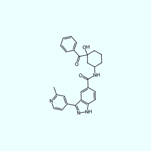 Cc1cc(-c2n[nH]c3ccc(C(=O)NC4CCCC(O)(C(=O)c5ccccc5)C4)cc23)ccn1